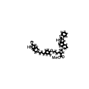 COC(=O)c1nc(N2CCCc3c2nnc(Nc2nc4ccccc4s2)c3C)sc1CCCOc1ccc(CCCN2CCC3(CC2)CNC(=O)C3)cc1F